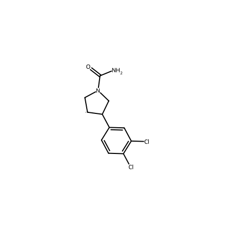 NC(=O)N1C[CH]C(c2ccc(Cl)c(Cl)c2)C1